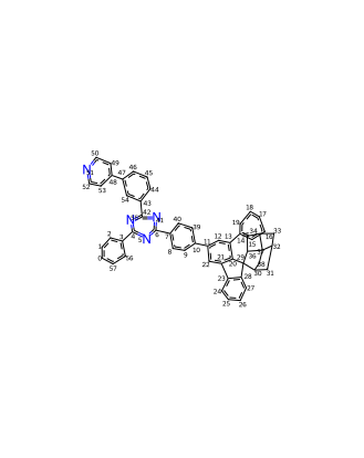 c1ccc(-c2nc(-c3ccc(-c4cc(-c5ccccc5)c5c(c4)-c4ccccc4C54C5CC6CC7CC4C67C5)cc3)nc(-c3cccc(-c4ccncc4)c3)n2)cc1